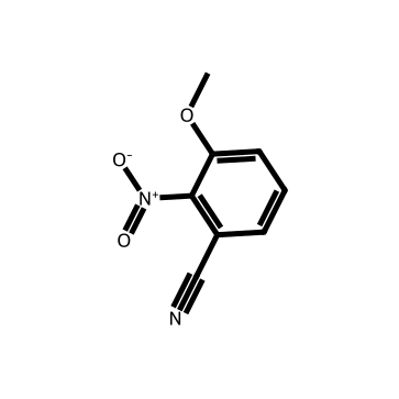 COc1cccc(C#N)c1[N+](=O)[O-]